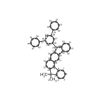 CC1(C)c2ccccc2-c2c1ccc1cc3c(cc21)c1ccccc1n3-c1cc(-c2ccccc2)nc(-c2ccccc2)n1